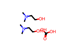 CN(C)CCO.CN(C)CCO.O=C(O)O